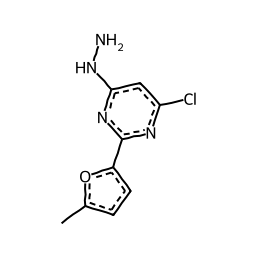 Cc1ccc(-c2nc(Cl)cc(NN)n2)o1